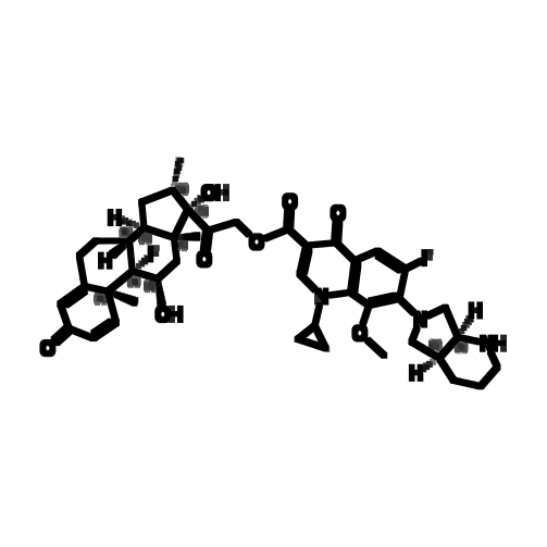 COc1c(N2C[C@@H]3CCCN[C@@H]3C2)c(F)cc2c(=O)c(C(=O)OCC(=O)[C@]3(O)[C@@H](C)C[C@@H]4[C@H]5CCC6=CC(=O)C=C[C@@]6(C)[C@]5(F)[C@H](O)C[C@]43C)cn(C3CC3)c12